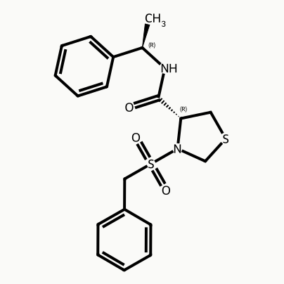 C[C@@H](NC(=O)[C@@H]1CSCN1S(=O)(=O)Cc1ccccc1)c1ccccc1